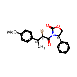 COc1ccc([C@H](C)[C@@H](Br)C(=O)N2C(=O)OC[C@H]2c2ccccc2)cc1